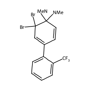 CNC1(NC)C=CC(c2ccccc2C(F)(F)F)=CC1(Br)Br